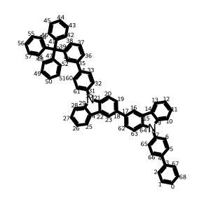 c1ccc(-c2ccc(-n3c4ccccc4c4cc(-c5ccc6c(c5)c5ccccc5n6-c5ccc(-c6cccc(C(c7ccccc7)(c7ccccc7)c7ccccc7)c6)cc5)ccc43)cc2)cc1